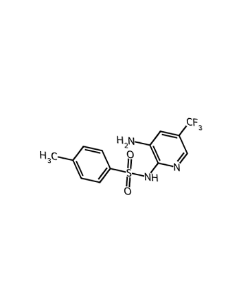 Cc1ccc(S(=O)(=O)Nc2ncc(C(F)(F)F)cc2N)cc1